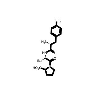 CC[C@@H](C)[C@H](NC(=O)[C@H](N)Cc1ccc(C(F)(F)F)cc1)C(=O)N1CCCC1C(=O)O